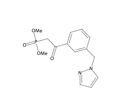 COP(=O)(CC(=O)c1cccc(Cn2cccn2)c1)OC